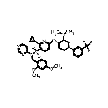 COc1ccc(CN(c2ccncn2)S(=O)(=O)c2ccc(O[C@H]3CC[C@H](c4cccc(C(F)(F)F)c4)C[C@@H]3N(C)C)nc2C2CC2)c(OC)c1